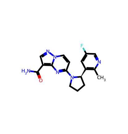 Cc1ncc(F)cc1[C@H]1CCCN1c1ccn2ncc(C(N)=O)c2n1